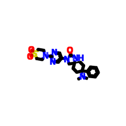 CN(C)[C@]1(c2ccccc2)CC[C@]2(CC1)CN(c1cnc(N3CCS(=O)(=O)CC3)nc1)C(=O)N2